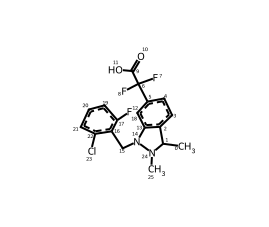 CC1c2ccc(C(F)(F)C(=O)O)cc2N(Cc2c(F)cccc2Cl)N1C